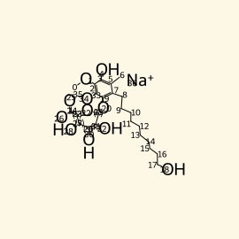 COc1c(O)c(C)c(CCCCCCCCCCO)c(O[C@H]2O[C@H](C(=O)[O-])[C@@H](O)[C@H](O)[C@H]2O)c1OC.[Na+]